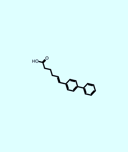 O=C(O)CCCC=Cc1ccc(-c2ccccc2)cc1